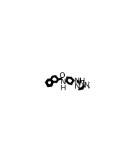 CN(C)c1ccnc(N[C@H]2CC[C@@H](NC(=O)C3CCc4ccccc4C3)CC2)n1